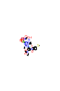 C#CCN1C(=O)COc2cc(F)c(N3C(=O)C4=C(CCCC4)C3=O)cc21.CCNc1nc(Cl)nc(NC(C)(C)C)n1.C[S+](C)C.O=C(O)CNCP(=O)([O-])O